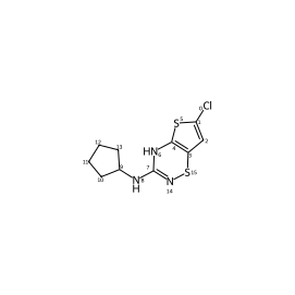 Clc1cc2c(s1)NC(NC1CCCC1)=NS2